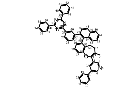 CC1=C(c2cncc(-c3ccccc3)c2)Oc2cccc(-c3c(-c4cccc(-c5nc(-c6ccccc6)nc(-c6ccccc6)n5)c4)ccc4ccccc34)c2CC1